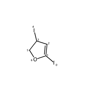 IC1=CC(I)CO1